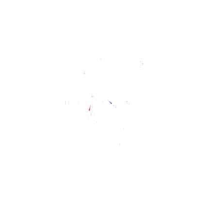 CCN(C(C)=O)N(c1ccccc1)[C@@H]1c2cc(C#N)ccc2OC(C)(C)[C@@H]1O